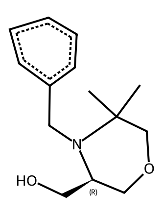 CC1(C)COC[C@@H](CO)N1Cc1ccccc1